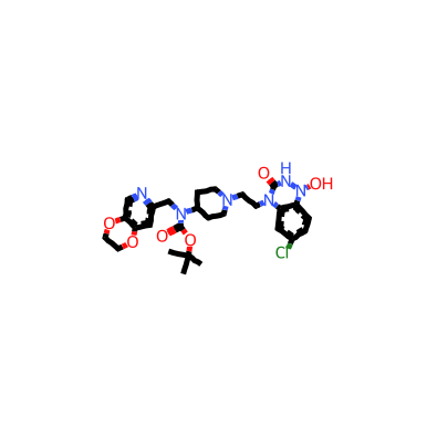 CC(C)(C)OC(=O)N(Cc1cc2c(cn1)OCCO2)C1CCN(CCN2C(=O)NN(O)c3ccc(Cl)cc32)CC1